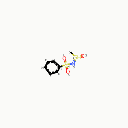 C/[SH](=O)=N\S(=O)(=O)c1ccccc1